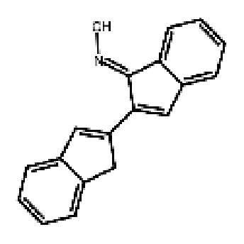 ON=C1C(C2=Cc3ccccc3C2)=Cc2ccccc21